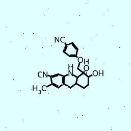 [C-]#[N+]c1cc2c(cc1C)CC1CCC(O)[C@@](O)(COc3ccc(C#N)cc3)C1N2